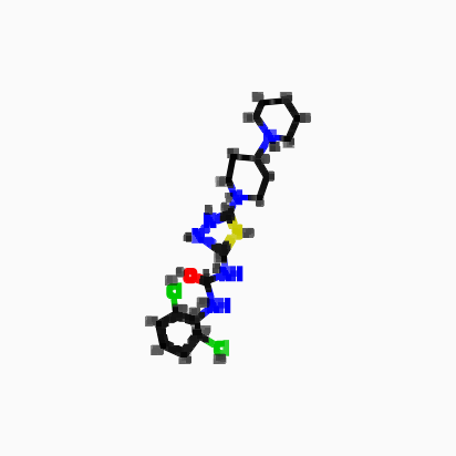 O=C(Nc1nnc(N2CCC(N3CCCCC3)CC2)s1)Nc1c(Cl)cccc1Cl